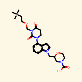 C[Si](C)(C)CCOCN1C(=O)CCN(c2cccc3c2ccn3CC2CN(C(=O)O)CCO2)C1=O